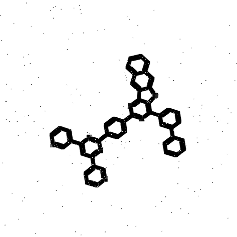 c1ccc(-c2cccc(-c3nc(-c4ccc(-c5nc(-c6cccnc6)cc(-c6cccnc6)n5)cc4)nc4c3oc3cc5ccccc5cc34)c2)cc1